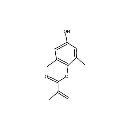 C=C(C)C(=O)Oc1c(C)cc(O)cc1C